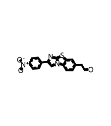 O=CCc1ccc2c(c1)sc1nc(-c3ccc([N+](=O)[O-])cc3)cn12